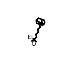 CCC1(CCCCCC23CC4CC(CC(C4)C2)C3)COC1